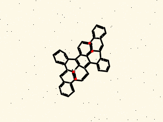 c1ccc(-c2c3ccccc3c(-c3ccccc3-c3ccc4ccccc4c3)c3ncccc23)c(-c2ccc3ccccc3c2)c1